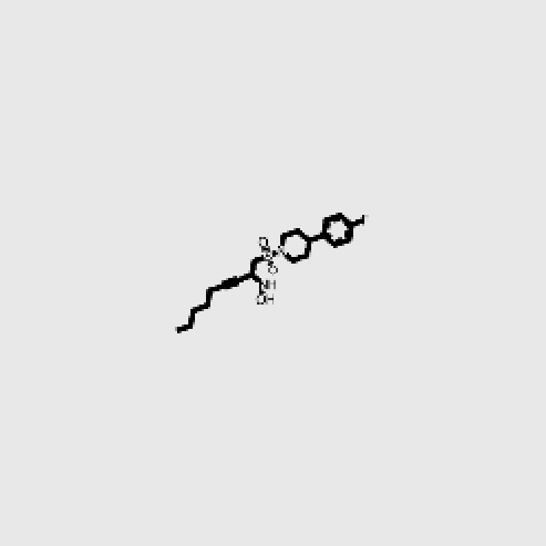 CCCCCC#CC(CS(=O)(=O)N1CCC(c2ccc(F)cc2)CC1)NO